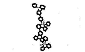 O=P1(c2ccc3c4ccc(-c5cccc6c5-c5ccccc5P(=O)(c5ccccc5)N6c5ccc(-c6ccc7c(c6)c6ccccc6n7-c6ccccc6)cc5)cc4c4ccccc4c3c2)c2ccccc2-c2ccccc2N1c1ccccc1